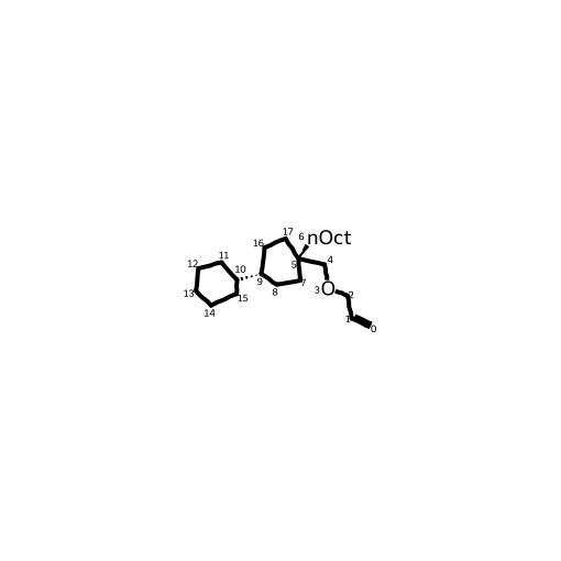 C=CCOC[C@]1(CCCCCCCC)CC[C@H](C2CCCCC2)CC1